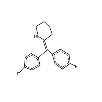 Fc1ccc(C(=C2CCCCN2)c2ccc(F)cc2)cc1